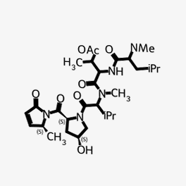 CNC(CC(C)C)C(=O)NC(C(=O)N(C)C(C(=O)N1C[C@@H](O)C[C@H]1C(=O)N1C(=O)C=C[C@@H]1C)C(C)C)C(C)OC(C)=O